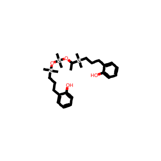 CC(O[Si](C)(C)O[Si](C)(C)CCCc1ccccc1O)[Si](C)(C)CCCc1ccccc1O